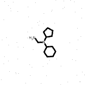 [SiH3]CN(C1CCCCC1)C1CCCC1